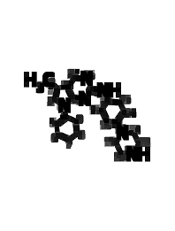 Cc1cn(-c2ccccc2)c2nc(Nc3ccc(N4CCNCC4)cc3)ncc12